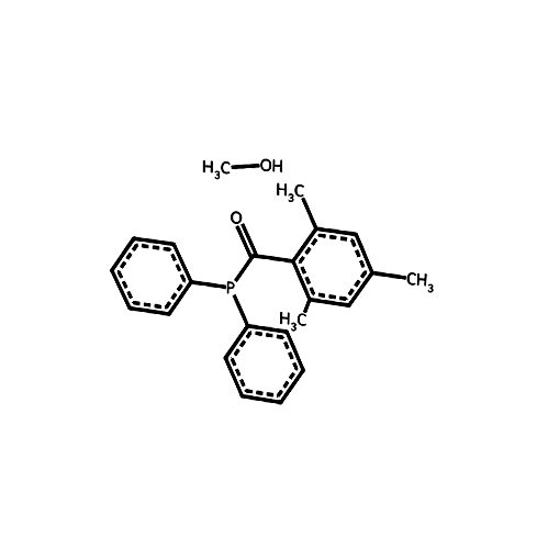 CO.Cc1cc(C)c(C(=O)P(c2ccccc2)c2ccccc2)c(C)c1